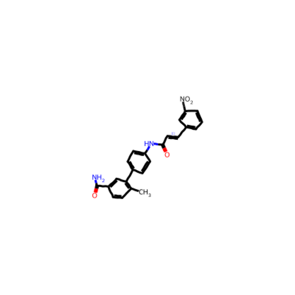 Cc1ccc(C(N)=O)cc1-c1ccc(NC(=O)/C=C/c2cccc([N+](=O)[O-])c2)cc1